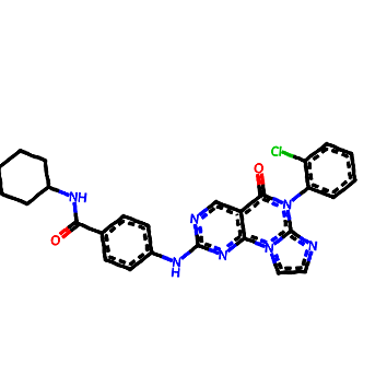 O=C(NC1CCCCC1)c1ccc(Nc2ncc3c(=O)n(-c4ccccc4Cl)c4nccn4c3n2)cc1